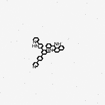 N=C(c1ccccc1)c1c(NCc2cc(C3=CC=C(c4ccccn4)NC3)cc(-c3ccc(-c4ccncc4)cc3)c2)ccc2ccccc12